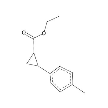 CCOC(=O)C1CC1c1ccc(C)cc1